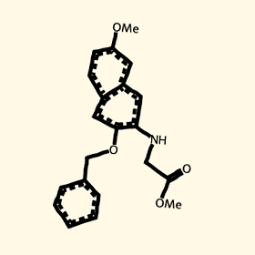 COC(=O)CNc1cc2cc(OC)ccc2cc1OCc1ccccc1